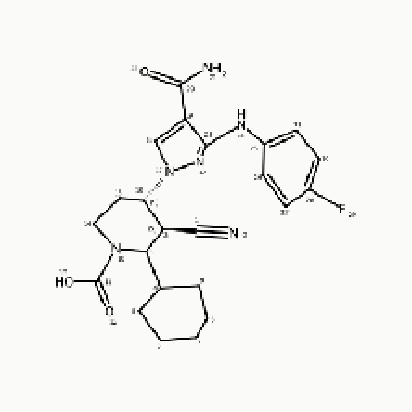 N#C[C@H]1C(C2CCCCC2)N(C(=O)O)CC[C@@H]1n1cc(C(N)=O)c(Nc2ccc(F)cc2)n1